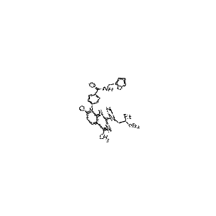 CCCCC(CC)CNc1nc(C)c2ccc(=O)n(-c3ccc(C(=O)NCc4ccco4)cc3)c2n1